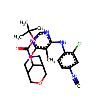 [C-]#[N+]c1ccc(Nc2ncnc(OC3C4COCC3CN(C(=O)OC(C)(C)C)C4)c2C)c(Cl)c1